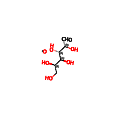 O=C[C@H](O)[C@@H](O)[C@@H](O)[C@H](O)CO.[O]